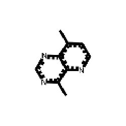 Cc1ccnc2c(C)ncnc12